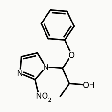 CC(O)C(Oc1ccccc1)n1ccnc1[N+](=O)[O-]